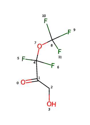 O=C(CO)C(F)(F)OC(F)(F)F